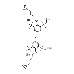 CC(C)(C)CC(C)(C)c1cc(CCc2cc(C(C)(C)CC(C)(C)C)c(OCCCCC3CO3)c(C(C)(C)CC(C)(C)C)c2)cc(C(C)(C)CC(C)(C)C)c1OCCCCC1CO1